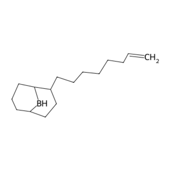 C=CCCCCCCC1CCC2BC1CCC2